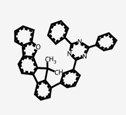 CC1(C)c2c(-c3cccc(-c4nc(-c5ccccc5)nc(-c5ccccc5)n4)c3)cccc2-c2ccc3c(oc4ccccc43)c21